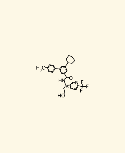 Cc1ccc(-c2cc(C(=O)N[C@H](CCO)c3ccc(C(F)(F)F)nc3)cc(C3CCCCC3)c2)cc1